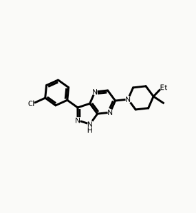 CCC1(C)CCN(c2cnc3c(-c4cccc(Cl)c4)n[nH]c3n2)CC1